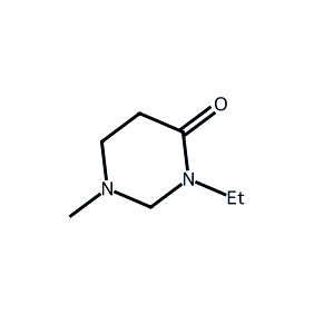 CCN1CN(C)CCC1=O